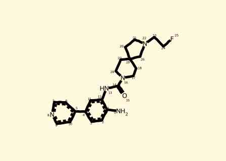 Nc1ccc(-c2ccncc2)cc1NC(=O)N1CCC2(CCN(CCF)C2)CC1